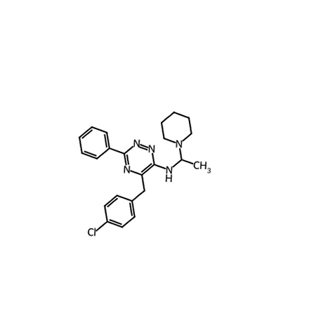 CC(Nc1nnc(-c2ccccc2)nc1Cc1ccc(Cl)cc1)N1CCCCC1